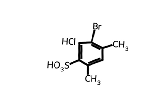 Cc1cc(C)c(S(=O)(=O)O)cc1Br.Cl